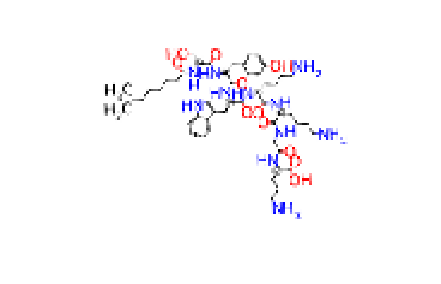 CC(C)CCCCCC(=O)N[C@H](CO)C(=O)N[C@H](Cc1ccc(O)cc1)C(=O)N[C@H](Cc1c[nH]c2ccccc12)C(=O)N[C@H](CCCCN)C(=O)N[C@@H](CCCCN)C(=O)NCC(=O)N[C@H](CCCN)C(=O)O